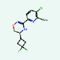 COc1nc(C2=NOCC(C3CC(F)(F)C3)N2)ccc1Br